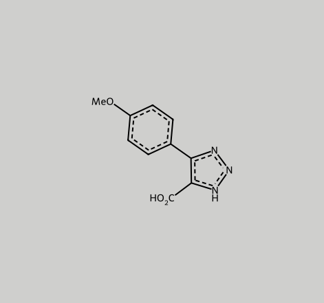 COc1ccc(-c2nn[nH]c2C(=O)O)cc1